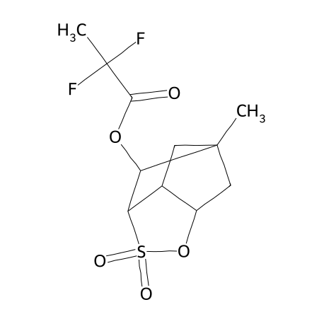 CC(F)(F)C(=O)OC1C2C3CC1(C)CC3OS2(=O)=O